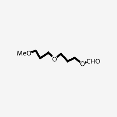 COCCCOCCCOC=O